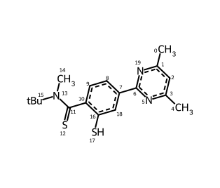 Cc1cc(C)nc(-c2ccc(C(=S)N(C)C(C)(C)C)c(S)c2)n1